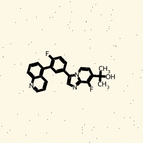 CC(C)(O)c1ccn2c(-c3ccc(F)c(-c4cccc5ncccc45)c3)cnc2c1F